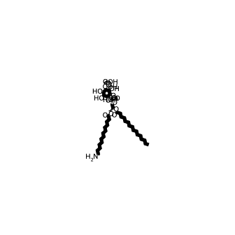 CCCCCCCCCCCCCCCC(=O)O[C@H](COC(=O)CCCCCCCCCCCCCN)COP(=O)(O)OC1C(O)[C@H](O)C(O)[C@H](OP(=O)(O)O)[C@@H]1O